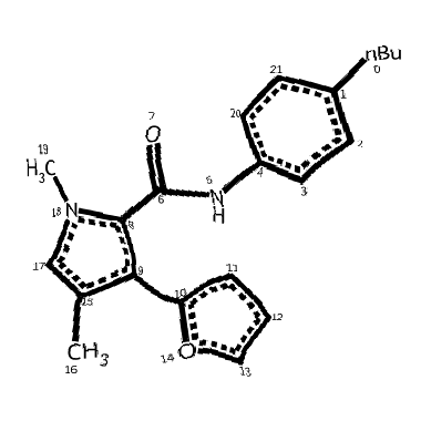 CCCCc1ccc(NC(=O)c2c(-c3ccco3)c(C)cn2C)cc1